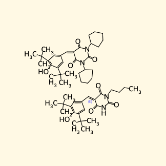 CC(C)(C)c1cc(C=C2C(=O)N(C3CCCCC3)C(=O)N(C3CCCCC3)C2=O)cc(C(C)(C)C)c1O.CCCCN1C(=O)NC(=O)/C(=C\c2cc(C(C)(C)C)c(O)c(C(C)(C)C)c2)C1=O